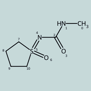 CNC(=O)N=S1(=O)CCCC1